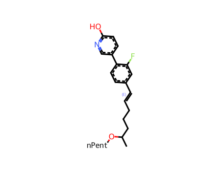 CCCCCOC(C)CCC/C=C/c1ccc(-c2ccc(O)nc2)c(F)c1